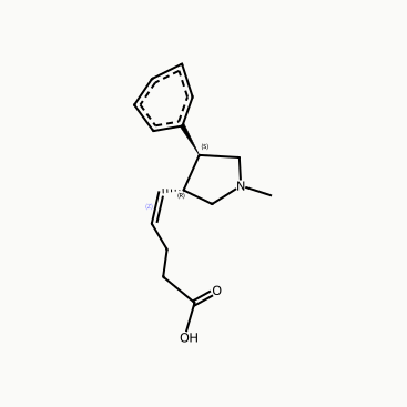 CN1C[C@H](c2ccccc2)[C@@H](/C=C\CCC(=O)O)C1